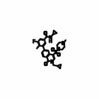 Cc1c(F)cc(C(=O)NC2CC2)cc1-c1ccc2c(=O)n(CC3CC3)cc(S(=O)(=O)N3CCN(C)CC3)c2c1